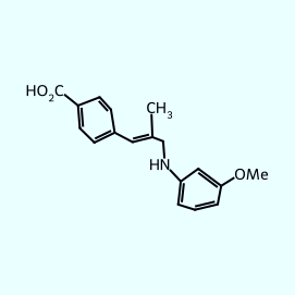 COc1cccc(NCC(C)=Cc2ccc(C(=O)O)cc2)c1